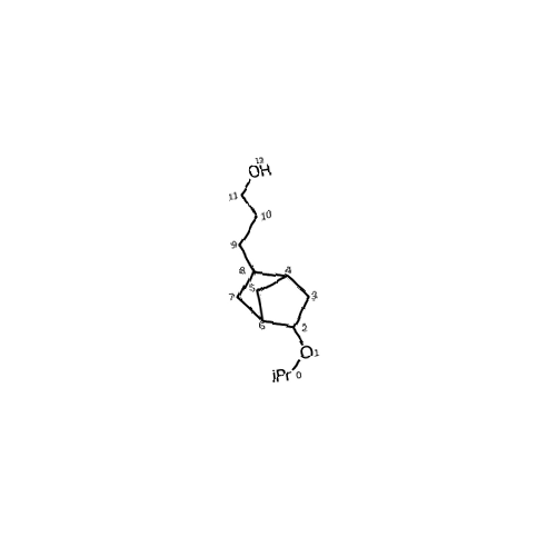 CC(C)OC1CC2CC1CC2CCCO